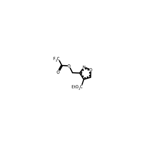 CCOC(=O)c1conc1COC(=O)C(F)(F)F